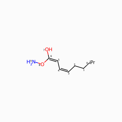 CC(C)CC/C=C\C=C(\O)ON